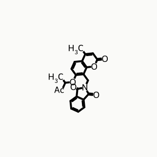 CC(=O)C(C)Oc1ccc2c(C)cc(=O)oc2c1CN1C(=O)c2ccccc2C1=O